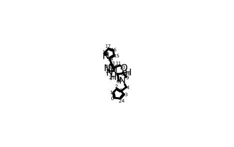 c1ccc(CN2C[C@@H]3[C@@H](C2)OCc2c(-c4ccccn4)nnn23)cc1